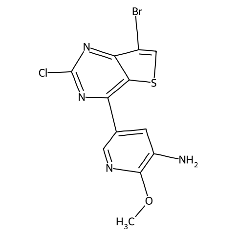 COc1ncc(-c2nc(Cl)nc3c(Br)csc23)cc1N